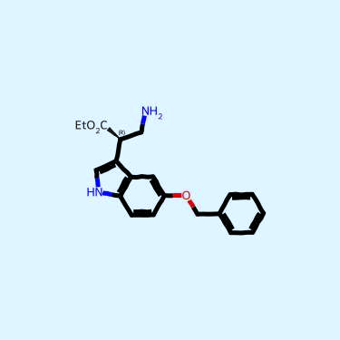 CCOC(=O)[C@@H](CN)c1c[nH]c2ccc(OCc3ccccc3)cc12